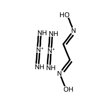 N=[N+]=N.N=[N+]=N.ON=CC=NO